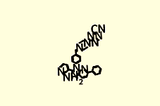 N#Cc1ncnc(N2CCN(Cc3ccc(-n4c(-c5cccnc5N)nc5ccc(-c6ccccc6)nc54)cc3)CC2)n1